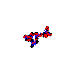 c1ccc(-c2cc(-c3ccc(-c4cc5nc(-c6ccc7ccccc7c6)c6ccc7c(c8ccccc8n7-c7ccccc7)c6c5c5ccccc45)cc3)nc(-c3cccc(-c4ccc5c(-c6nc7cc(-c8ccc(-c9nc(-c%10ccccc%10)nc(-c%10ccccc%10)n9)cc8)c8ccccc8c7c7c6ccc6c7c7ccccc7n6-c6ccccc6)cccc5c4)c3)n2)cc1